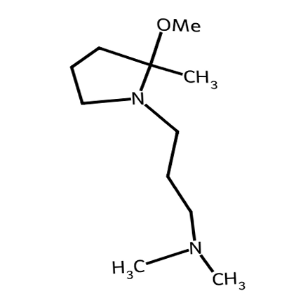 COC1(C)CCCN1CCCN(C)C